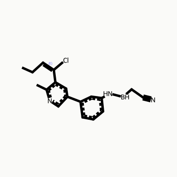 CC/C=C(/Cl)c1cc(-c2cccc(NBCC#N)c2)cnc1C